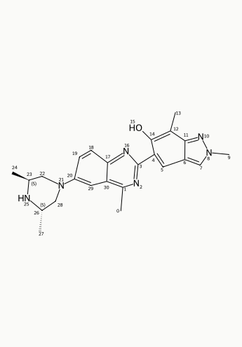 Cc1nc(-c2cc3cn(C)nc3c(C)c2O)nc2ccc(N3C[C@H](C)N[C@@H](C)C3)cc12